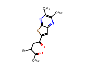 CCC(CC(=O)c1cc2nc(OC)c(OC)nc2s1)C(=O)OC